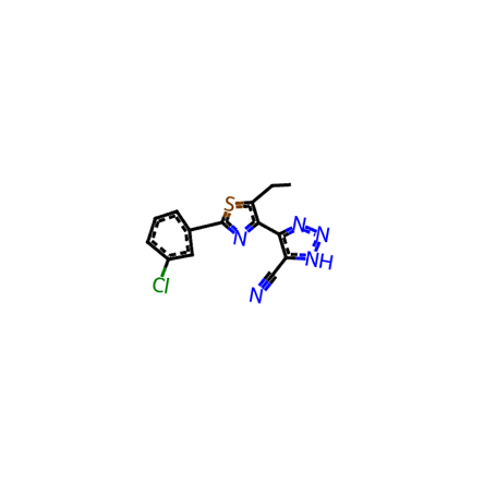 CCc1sc(-c2cccc(Cl)c2)nc1-c1nn[nH]c1C#N